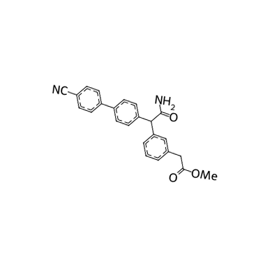 COC(=O)Cc1cccc(C(C(N)=O)c2ccc(-c3ccc(C#N)cc3)cc2)c1